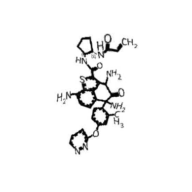 C=CC(=O)N[C@H]1CCC[C@H]1NC(=O)c1sc2c(N)ccc3c2c1C(N)C(=O)C3(N)c1ccc(Oc2cccnn2)cc1C